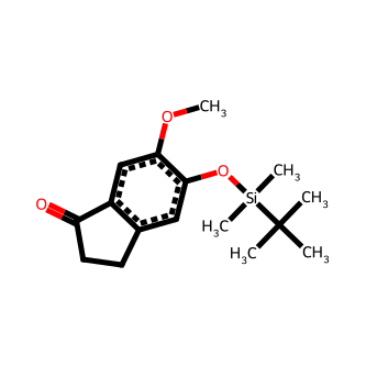 COc1cc2c(cc1O[Si](C)(C)C(C)(C)C)CCC2=O